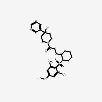 COc1cc(C)c(S(=O)(=O)N2CCCCC2CCC(=O)N2CCC(O)(c3cccnc3)CC2)c(C)c1